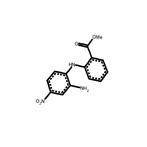 COC(=O)c1ccccc1Nc1ccc([N+](=O)[O-])cc1N